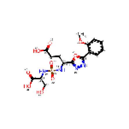 COc1ccccc1-c1nnc([C@H](CCC(=O)O)NS(=O)(=O)N[C@@H](CO)C(=O)O)o1